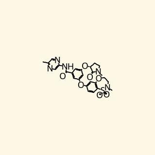 Cc1cnc(NC(=O)c2cc(Oc3ccc4c(c3)OCCN(C)S4(=O)=O)cc(O[C@H]3CCN(C)C3=O)c2)cn1